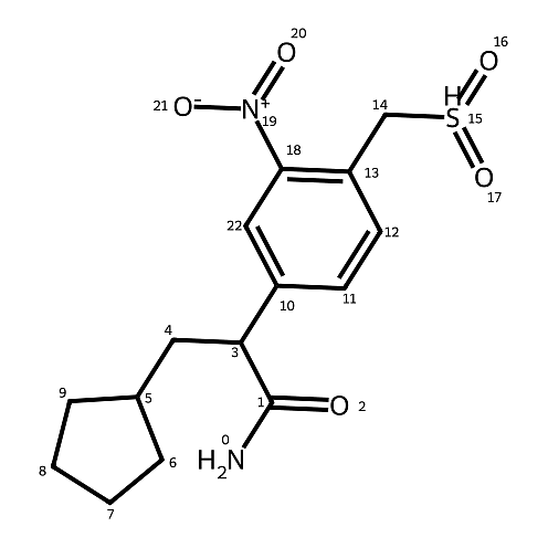 NC(=O)C(CC1CCCC1)c1ccc(C[SH](=O)=O)c([N+](=O)[O-])c1